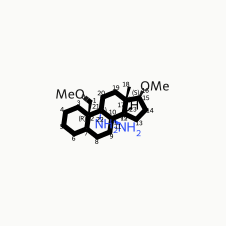 COC[C@]12CCCCC1CC[C@@]1(N)[C@@H]3CC[C@H](OC)[C@@]3(C)CC[C@]21N